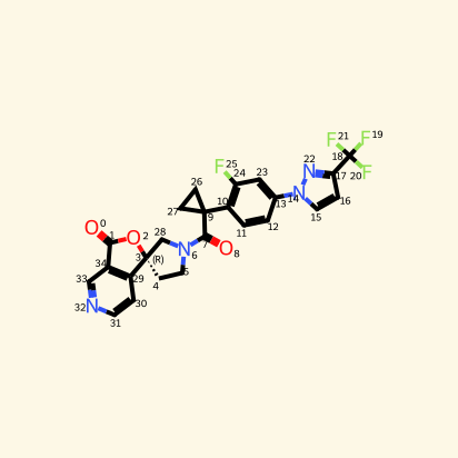 O=C1O[C@]2(CCN(C(=O)C3(c4ccc(-n5ccc(C(F)(F)F)n5)cc4F)CC3)C2)c2ccncc21